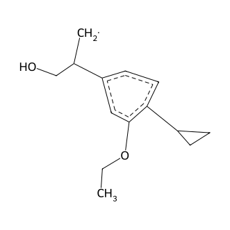 [CH2]C(CO)c1ccc(C2CC2)c(OCC)c1